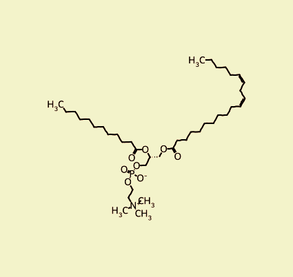 CCCCC/C=C\C/C=C\CCCCCCCCCC(=O)OC[C@H](COP(=O)([O-])OCC[N+](C)(C)C)OC(=O)CCCCCCCCCCC